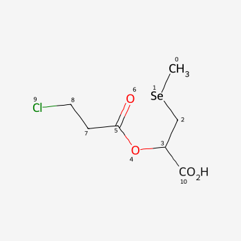 C[Se]CC(OC(=O)CCCl)C(=O)O